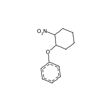 O=[N+]([O-])C1CCCCC1Oc1ccccc1